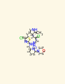 C=c1[nH]cc(Cc2sc(NCC3=CCCC(N4CCOCC4)=N3)nc2Cl)/c1=C/C(Cl)=C\N